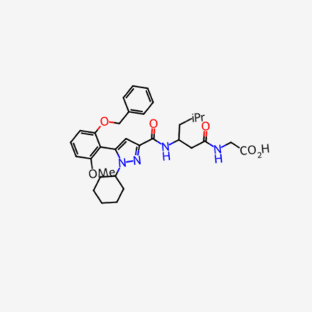 COc1cccc(OCc2ccccc2)c1-c1cc(C(=O)NC(CC(=O)NCC(=O)O)CC(C)C)nn1C1CCCCC1